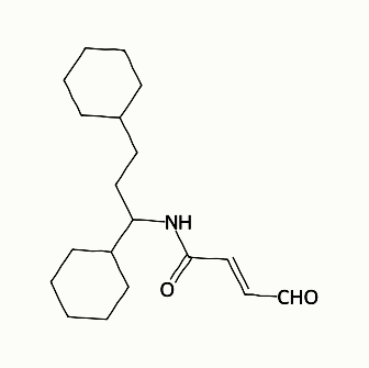 O=CC=CC(=O)NC(CCC1CCCCC1)C1CCCCC1